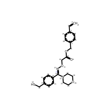 C=Cc1ccc(COC(=O)CO/N=C(/c2ccc(CS)cc2)N2CCOCC2)cc1